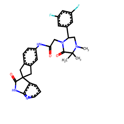 CN1CC(c2cc(F)cc(F)c2)N(CC(=O)Nc2ccc3c(c2)CC2(C3)C(=O)Nc3ncccc32)C(=O)C1(C)C